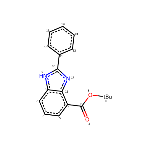 CC(C)(C)OC(=O)c1cccc2[nH]c(-c3ccccc3)nc12